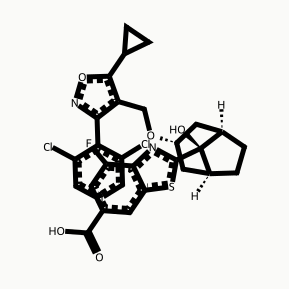 O=C(O)c1cc(F)c2nc([C@]3(O)[C@@H]4CC[C@H]3C[C@H](OCc3c(-c5c(Cl)cncc5Cl)noc3C3CC3)C4)sc2c1